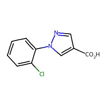 O=C(O)c1cnn(-c2ccccc2Cl)c1